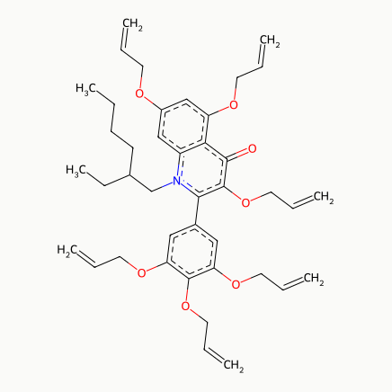 C=CCOc1cc(OCC=C)c2c(=O)c(OCC=C)c(-c3cc(OCC=C)c(OCC=C)c(OCC=C)c3)n(CC(CC)CCCC)c2c1